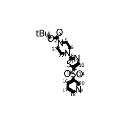 CC(C)(C)OC(=O)N1CCN(c2ncc(S(=O)(=O)c3cccnc3)s2)CC1